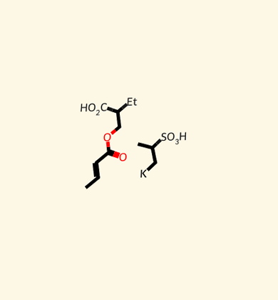 CC([CH2][K])S(=O)(=O)O.CC=CC(=O)OCC(CC)C(=O)O